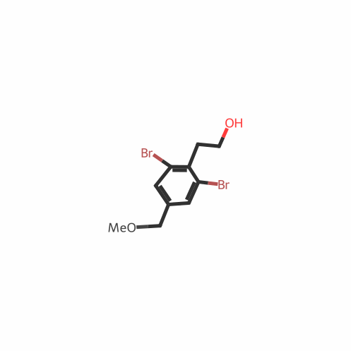 COCc1cc(Br)c(CCO)c(Br)c1